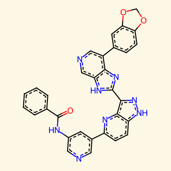 O=C(Nc1cncc(-c2ccc3[nH]nc(-c4nc5c(-c6ccc7c(c6)OCO7)cncc5[nH]4)c3n2)c1)c1ccccc1